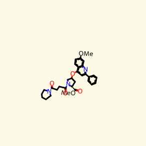 COC(=O)[C@@H]1CC(Oc2cc(-c3ccccc3)nc3cc(OC)ccc23)CN1C(=O)CCC(=O)N1CCCCC1